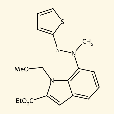 CCOC(=O)c1cc2cccc(N(C)Sc3cccs3)c2n1COC